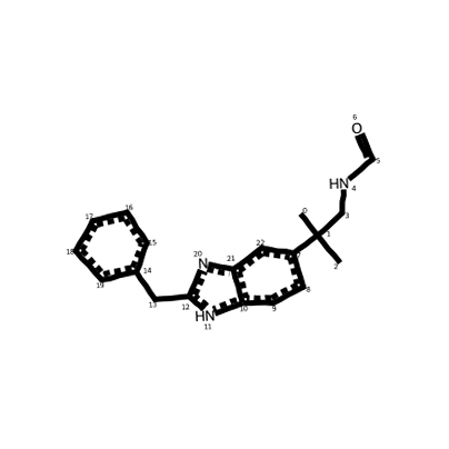 CC(C)(CNC=O)c1ccc2[nH]c(Cc3ccccc3)nc2c1